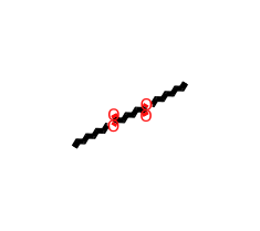 C=CCCCCCCOC(=O)CCCCC(=O)OCCCCCCC=C